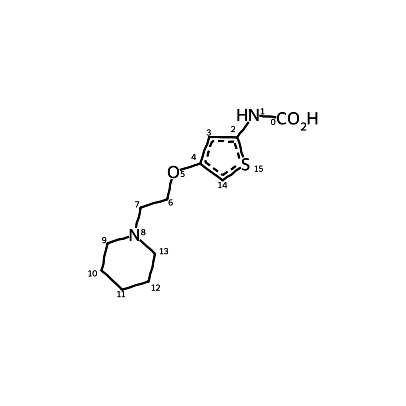 O=C(O)Nc1cc(OCCN2CCCCC2)cs1